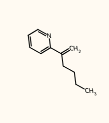 C=C(CCCC)c1ccccn1